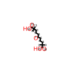 CC(C)(CCCC(=O)CCCC(C)(C)C(=O)O)C(=O)O